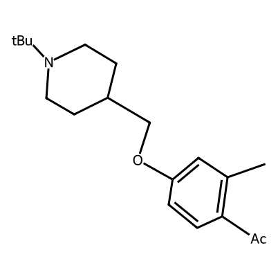 CC(=O)c1ccc(OCC2CCN(C(C)(C)C)CC2)cc1C